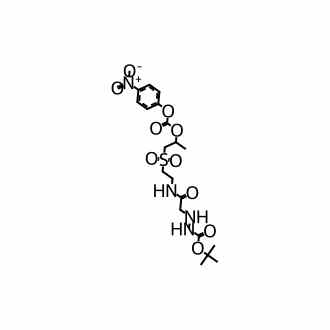 CC(CS(=O)(=O)CCNC(=O)CNNC(=O)OC(C)(C)C)OC(=O)Oc1ccc([N+](=O)[O-])cc1